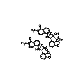 CCSCC(O)(C(Nc1cccc2c(=O)n(C)ncc12)c1cccc2c1OCO2)C(F)(F)F.Cn1ncc2c(NC(c3cccc4c3OCO4)C3(C(F)(F)F)CO3)cccc2c1=O